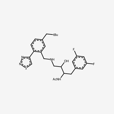 CC(=O)NC(Cc1cc(F)cc(F)c1)C(O)CNCc1cc(CC(C)(C)C)ccc1-c1csnn1